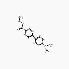 CCOC(=O)c1ccc(-c2ccc(C(C)O)cc2)cc1